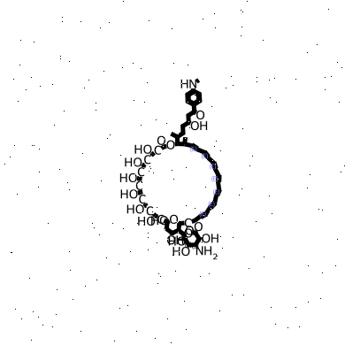 CNc1ccc(C(=O)CC(O)CCC(C)C2OC(=O)CC(O)CC(O)CC(O)CC(O)CC(O)CC(O)CC3(O)CC(O)C(C(=O)O)C(CC(O[C@@H]4O[C@H](C)[C@@H](O)[C@H](N)[C@@H]4O)/C=C/C=C/C=C/C=C/C=C/C=C/C=C/C2C)O3)cc1